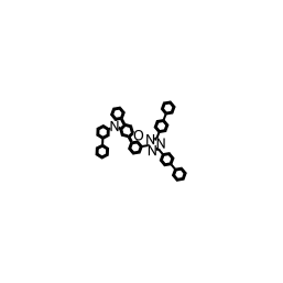 c1ccc(-c2ccc(-c3nc(-c4ccc(-c5ccccc5)cc4)nc(-c4cccc5c4oc4cc6c7ccccc7n(-c7cccc(-c8ccccc8)c7)c6cc45)n3)cc2)cc1